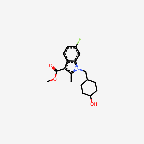 COC(=O)c1c(C)n(CC2CCC(O)CC2)c2cc(F)ccc12